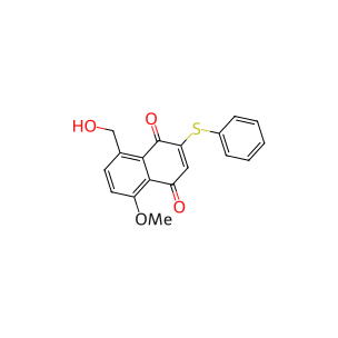 COc1ccc(CO)c2c1C(=O)C=C(Sc1ccccc1)C2=O